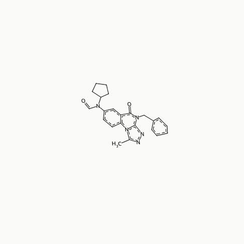 Cc1nnc2n(Cc3ccccc3)c(=O)c3cc(N(C=O)C4CCCC4)ccc3n12